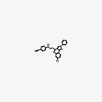 N#Cc1ccc(NCCc2nc3cc(Cl)ccc3c3nn(-c4ccccc4)cc23)cc1